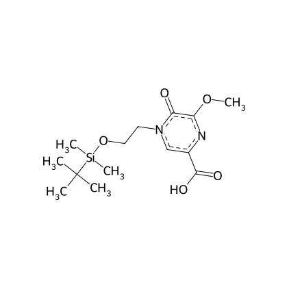 COc1nc(C(=O)O)cn(CCO[Si](C)(C)C(C)(C)C)c1=O